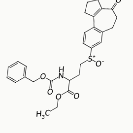 CCOC(=O)C(CC[S+]([O-])c1ccc2c(c1)CCC(=O)C1=C2CCC1)NC(=O)OCc1ccccc1